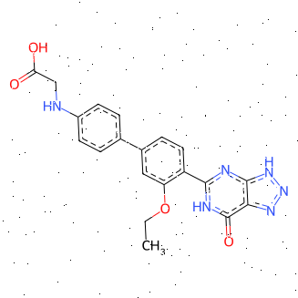 CCOc1cc(-c2ccc(NCC(=O)O)cc2)ccc1-c1nc2[nH]nnc2c(=O)[nH]1